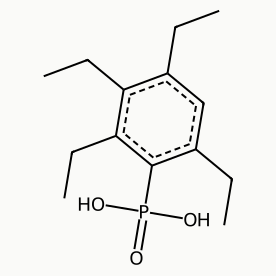 CCc1cc(CC)c(P(=O)(O)O)c(CC)c1CC